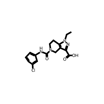 CCn1nc(C(=O)O)c2c1CCN(C(=O)Nc1cccc(Cl)c1)C2